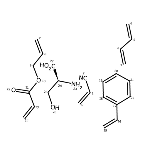 C=CC#N.C=CC=C.C=CCOC(=O)C=C.C=Cc1ccccc1.N[C@@H](CO)C(=O)O